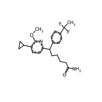 COc1nc(C(CCCCC(N)=O)c2ccc(C(C)(F)F)cc2)ccc1C1CC1